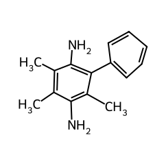 Cc1c(C)c(N)c(-c2ccccc2)c(C)c1N